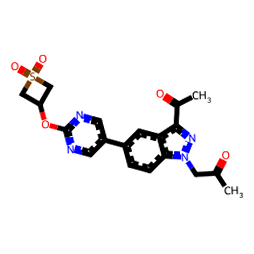 CC(=O)Cn1nc(C(C)=O)c2cc(-c3cnc(OC4CS(=O)(=O)C4)nc3)ccc21